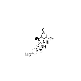 CC(C)c1cc(Cl)cc(C(C)C)c1NC(=O)NS(=O)(=O)N1CCC(O)CC1